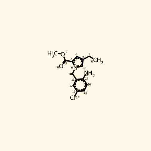 CCc1cc(C(=O)OC)n(Cc2cc(Cl)ccc2N)c1